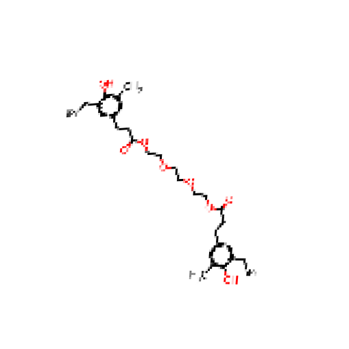 Cc1cc(CCC(=O)OCCOCCOCCOC(=O)CCc2cc(C)c(O)c(CC(C)C)c2)cc(CC(C)C)c1O